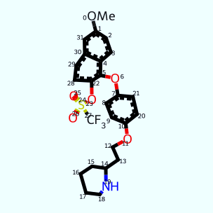 COc1ccc2c(Oc3ccc(OCCC4CCCCN4)cc3)c(OS(=O)(=O)C(F)(F)F)ccc2c1